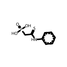 O=P(O)(O)CC(=S)Nc1ccccc1